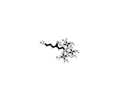 CCCCC(=N)CC[Si](O[Si](C)(C)C)(O[Si](C)(C)C)O[Si](C)(C)C